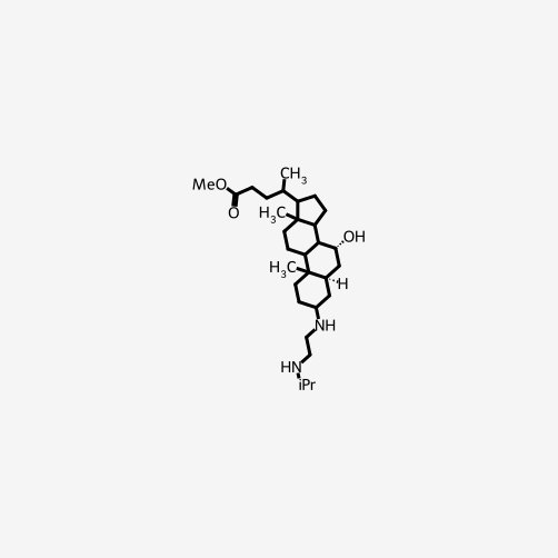 COC(=O)CCC(C)C1CCC2C3C(CCC12C)C1(C)CCC(NCCNC(C)C)C[C@@H]1C[C@H]3O